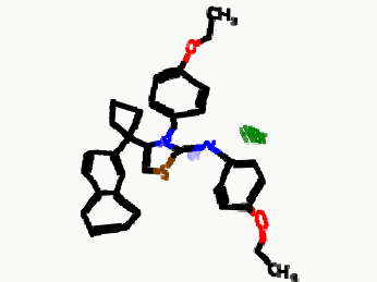 Br.CCOc1ccc(/N=c2\scc(C3(c4ccc5ccccc5c4)CCC3)n2-c2ccc(OCC)cc2)cc1